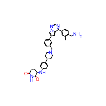 Cc1cc(-c2ncnn3cc(-c4cccc(CN5CCC(c6ccc(NC7CCC(=O)NC7=O)cc6)CC5)c4)cc23)ccc1CN